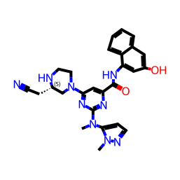 CN(c1nc(C(=O)Nc2cc(O)cc3ccccc23)cc(N2CCN[C@@H](CC#N)C2)n1)c1ccnn1C